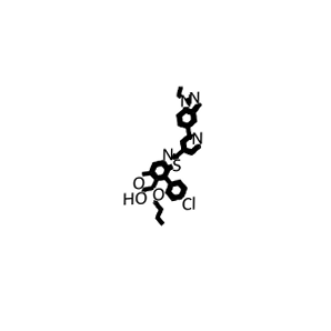 CCCCOC(C(=O)O)c1c(C)cc2nc(-c3ccnc(-c4ccc5c(cnn5CC)c4)c3)sc2c1-c1ccc(Cl)cc1